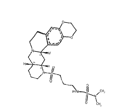 CN(C)S(=O)(=O)NCCCS(=O)(=O)N1CCC[C@@H]2CN3CCc4cc5c(cc4[C@@H]3C[C@@H]21)OCCO5